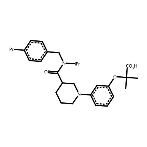 CC(C)c1ccc(CN(C(=O)C2CCCN(c3cccc(OC(C)(C)C(=O)O)c3)C2)C(C)C)cc1